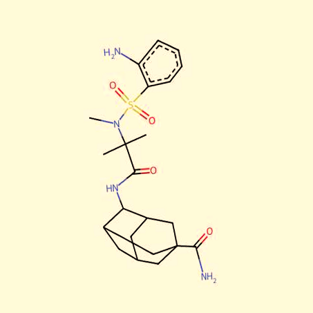 CN(C(C)(C)C(=O)NC1C2CC3CC1CC(C(N)=O)(C3)C2)S(=O)(=O)c1ccccc1N